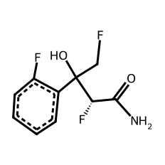 NC(=O)[C@H](F)C(O)(CF)c1ccccc1F